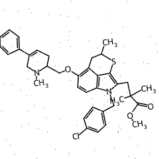 COC(=O)C(C)(C)Cc1c2c3c(c(OCC4CC=C(c5ccccc5)CN4C)ccc3n1Cc1ccc(Cl)cc1)CC(C)S2